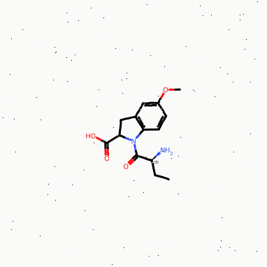 CC[C@H](N)C(=O)N1c2ccc(OC)cc2CC1C(=O)O